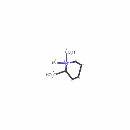 CC(C)(C)[N+]1(C(=O)O)CCCCC1C(=O)O